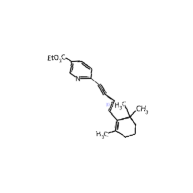 CCOC(=O)c1ccc(C#C/C=C/C2=C(C)CCCC2(C)C)nc1